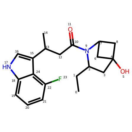 CCC1CC2(O)CC(C2)N1C(=O)CC(C)c1c[nH]c2cccc(F)c12